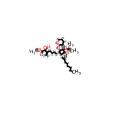 CCCCCCC=C[C@@H]1[C@@H](CCCCC(=C(F)F)C(O)C(=O)OC)[C@@H](OC2CCCCO2)[C@H]2OC(C)(C)O[C@@H]12